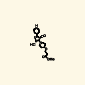 COC(=O)CCOC1CCN(C2=NN=C(C3CCNCC3)S2=C=O)CC1.Cl